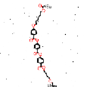 CCC(C)C(=O)OCCCCCCOc1ccc(C(=O)Oc2ccc(C(=O)Oc3ccc(C(=O)OCCCCOCC4(CC)COC4)cc3)cc2)cc1